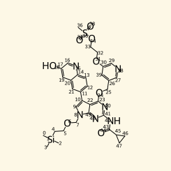 C[Si](C)(C)CCOCn1cc(-c2ccc3ncc(O)cc3c2)c2c(OCc3cncc(OCCOS(C)(=O)=O)c3)nc(NC(=O)C3CC3)nc21